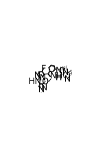 CCOc1nn(C)cc1Nc1ncc(F)c(-c2c[nH]c3c(NC[C@H](C)N4CCN(C)C[C@@H]4C)cccc23)n1